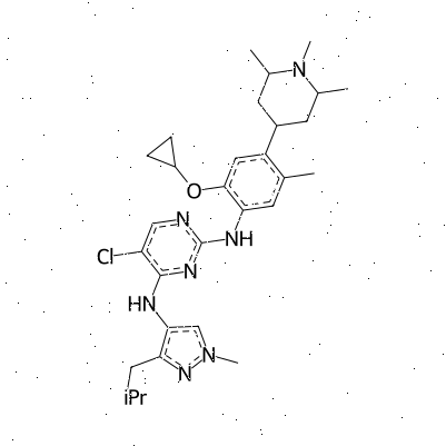 Cc1cc(Nc2ncc(Cl)c(Nc3cn(C)nc3CC(C)C)n2)c(OC2CC2)cc1C1CC(C)N(C)C(C)C1